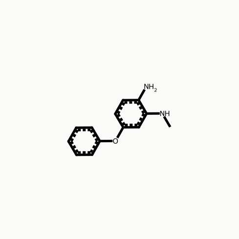 CNc1cc(Oc2ccccc2)ccc1N